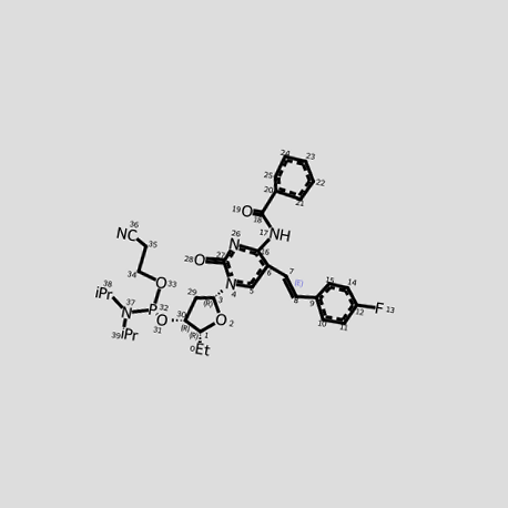 CC[C@H]1O[C@@H](n2cc(/C=C/c3ccc(F)cc3)c(NC(=O)c3ccccc3)nc2=O)C[C@H]1OP(OCCC#N)N(C(C)C)C(C)C